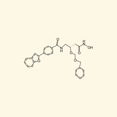 O=C(C[C@@H](CNC(=O)c1ccc(-c2cc3ccccc3o2)cc1)OCOCc1ccccc1)NO